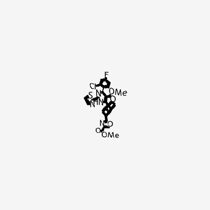 COC(=O)C1=C(C23C4C5C2C2C3C4C52c2nc(C(=O)OC)co2)NC(c2nccs2)=N[C@H]1c1ccc(F)cc1Cl